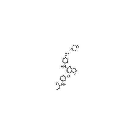 C=CC(=O)Nc1cccc(Oc2nc(Nc3ccc(OCCN4CCOCC4)cc3)nc3ccsc23)c1